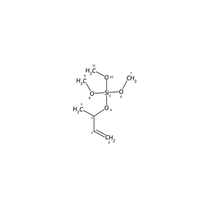 C=CC(C)O[Si](OC)(OC)OC